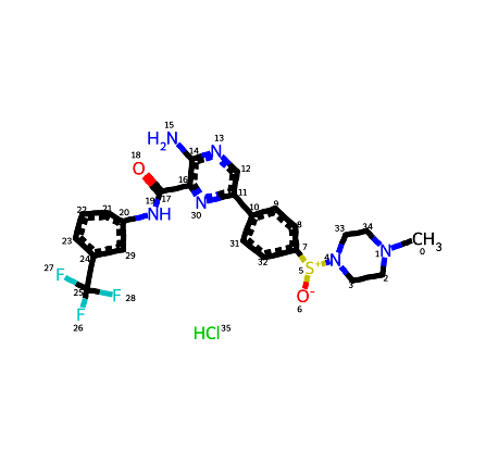 CN1CCN([S+]([O-])c2ccc(-c3cnc(N)c(C(=O)Nc4cccc(C(F)(F)F)c4)n3)cc2)CC1.Cl